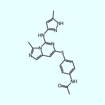 CC(=O)Nc1ccc(Sc2cc3cnc(C)n3c(Nc3cc(C)[nH]n3)n2)cc1